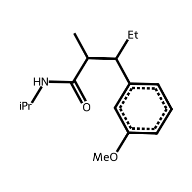 CCC(c1cccc(OC)c1)C(C)C(=O)NC(C)C